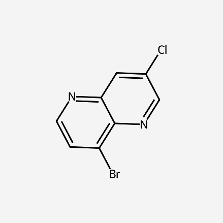 Clc1cnc2c(Br)ccnc2c1